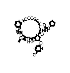 C=C[C@@H]1C[C@@]12NC(=O)[C@@H]1C[C@@H](Oc3ccc(Cl)cn3)CN1C(=O)[C@@H](NC(=O)OC1CCCC1)CCCCCCCNc1ccccc1S(=O)(=O)NC2=O